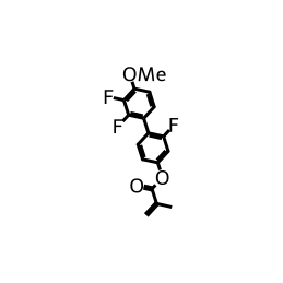 C=C(C)C(=O)Oc1ccc(-c2ccc(OC)c(F)c2F)c(F)c1